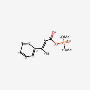 CCC(=CC(=O)OP(=O)(OC)OC)c1ccccc1